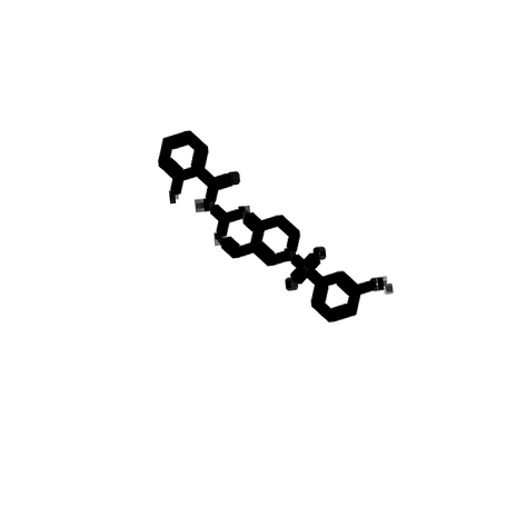 O=C(NC1N=CC2=CN(S(=O)(=O)c3cccc(C(F)(F)F)c3)CCC2=N1)c1ccccc1F